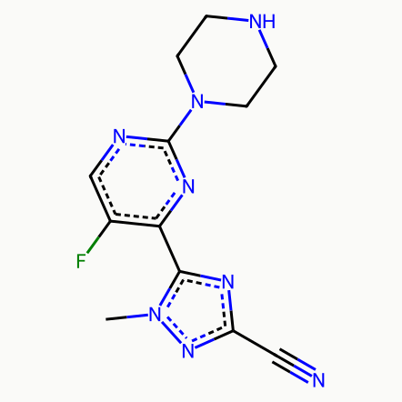 Cn1nc(C#N)nc1-c1nc(N2CCNCC2)ncc1F